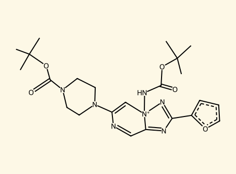 CC(C)(C)OC(=O)N[N+]12C=C(N3CCN(C(=O)OC(C)(C)C)CC3)N=CC1=NC(c1ccco1)=N2